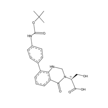 CC(C)(C)OC(=O)Nc1ccc(-c2cccc3c2NCN([C@@H](CO)C(=O)O)C3=O)cc1